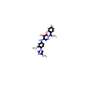 Cc1cn(-c2ccc(Nc3cnn(C(C)c4ccc(F)cc4)c(=O)c3Br)cc2C)cn1